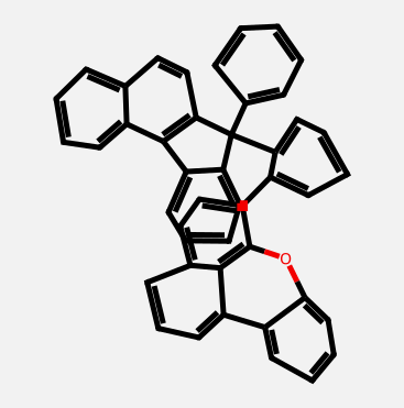 c1ccc(C2(c3ccccc3-c3ccc4cccc5c4c3Oc3ccccc3-5)c3ccccc3-c3c2ccc2ccccc32)cc1